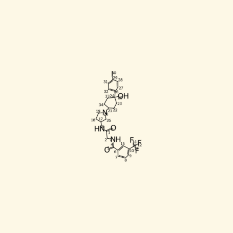 O=C(CNC(=O)c1cccc(C(F)(F)F)c1)NC1CCN(C2CCC(O)(c3ccc(I)cc3)CC2)C1